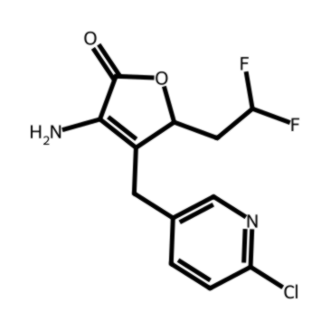 NC1=C(Cc2ccc(Cl)nc2)C(CC(F)F)OC1=O